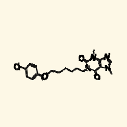 Cn1cnc2c1c(=O)n(CCCCCCOc1ccc(Cl)cc1)c(=O)n2C